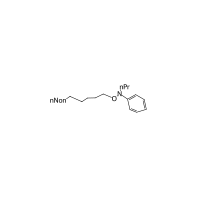 CCCCCCCCCCCCCCON(CCC)c1ccccc1